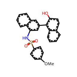 COc1ccc(S(=O)(=O)Nc2cc(-c3c(O)ccc4ccccc34)[c]c3ccccc23)cc1